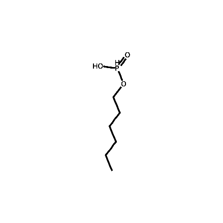 CCCCCCO[PH](=O)O